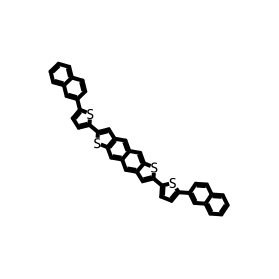 c1ccc2cc(-c3ccc(-c4cc5cc6cc7sc(-c8ccc(-c9ccc%10ccccc%10c9)s8)cc7cc6cc5s4)s3)ccc2c1